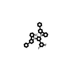 N#Cc1c(-n2c3ccccc3c3cc(-c4ccccc4)ccc32)cc(-c2cc(F)cc(F)c2)cc1-n1c2ccccc2c2cc(-c3ccccc3)ccc21